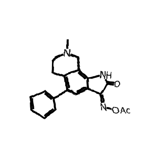 CC(=O)ON=C1C(=O)Nc2c1cc(-c1ccccc1)c1c2CN(C)CC1